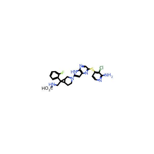 Nc1nccc(Sc2cnc3[nH]c(N4CCC5C(C4)C5(CNC(=O)O)c4ccccc4F)cc3n2)c1Cl